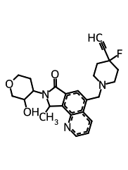 C#CC1(F)CCN(Cc2cc3c(c4ncccc24)C(C)N(C2CCOCC2O)C3=O)CC1